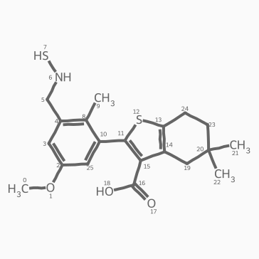 COc1cc(CNS)c(C)c(-c2sc3c(c2C(=O)O)CC(C)(C)CC3)c1